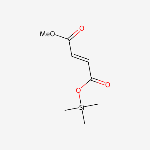 COC(=O)C=CC(=O)O[Si](C)(C)C